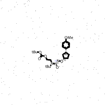 COc1ccc([C@@H]2CC[C@H](O/N=[N+](\[O-])N(CCOC(=O)OC(C)(C)C)C(C)(C)C)C2)cc1